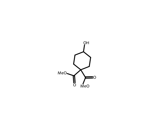 COC(=O)C1(C(=O)OC)CCC(O)CC1